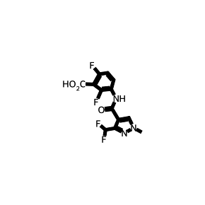 Cn1cc(C(=O)Nc2ccc(F)c(C(=O)O)c2F)c(C(F)F)n1